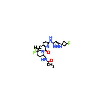 CC(=O)NCC1CCC(F)(F)CN1C(=O)c1nc(Nc2cc(C3CC(F)C3)[nH]n2)ccc1C